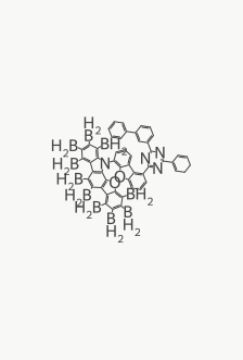 Bc1c(B)c(B)c2c(oc3c2c(B)c(B)c2c4c(B)c(B)c(B)c(B)c4n(-c4cccc5c4oc4cccc(-c6nc(C7=CCCC=C7)nc(-c7cccc(-c8ccccc8)c7)n6)c45)c32)c1B